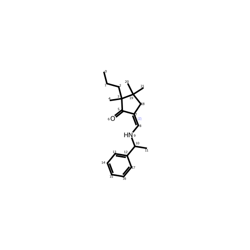 CCCC1(C)C(=O)/C(=C\NC(C)c2ccccc2)CC1(C)C